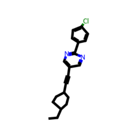 CCC1CCC(C#Cc2cnc(-c3ccc(Cl)cc3)nc2)CC1